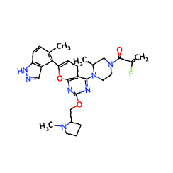 C=C(F)C(=O)N1CCN(c2nc(OCC3CCCN3C)nc3c2CC=C(c2c(C)ccc4[nH]ncc24)O3)[C@@H](C)C1